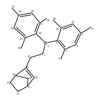 Cc1cc(C)c(B(CCC2=CC3CCC2C3)c2c(C)cc(C)cc2C)c(C)c1